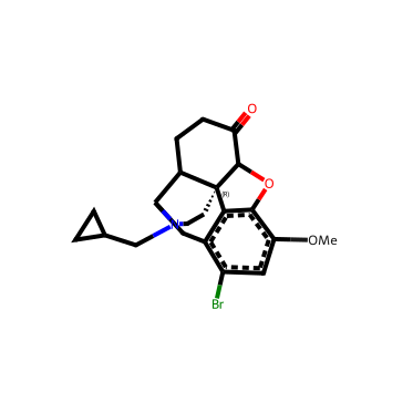 COc1cc(Br)c2c3c1OC1C(=O)CCC4C(C2)N(CC2CC2)CC[C@@]314